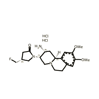 COc1cc2c(cc1OC)[C@@H]1C[C@@H](N)[C@@H](N3C[C@H](CF)CC3=O)CN1CC2.Cl.Cl